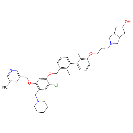 Cc1c(COc2cc(OCc3cncc(C#N)c3)c(CN3CCCCC3)cc2Cl)cccc1-c1cccc(OCCCN2CC3CC(O)CC3C2)c1C